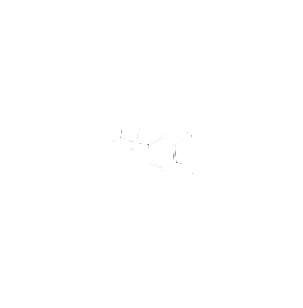 COc1ccc(S(=O)(=O)C(C)O)cc1N